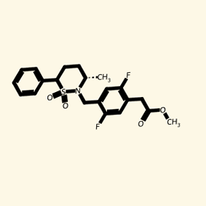 COC(=O)Cc1cc(F)c(CN2[C@@H](C)CCC(c3ccccc3)S2(=O)=O)cc1F